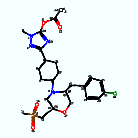 Cn1nc(C2CCC(N3C[C@H](CS(C)(=O)=O)OC[C@@H]3Cc3ccc(Cl)cc3)CC2)nc1OC(=O)C(F)(F)F